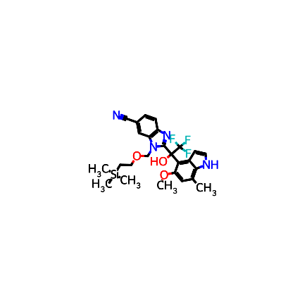 COc1cc(C)c2[nH]ccc2c1C(O)(c1nc2ccc(C#N)cc2n1COCC[Si](C)(C)C)C(F)(F)F